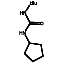 CC(C)(C)NC(=O)NC1CCCC1